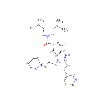 CC(C)CCN(CCC(C)C)C(=O)c1ccc2nc(CCc3cccnc3)n(CCCN3CCCCC3)c2c1